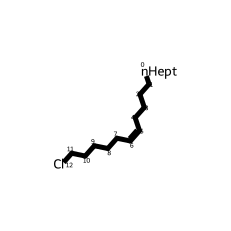 CCCCCCCCCCC/C=C\CCCCCCl